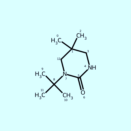 CC1(C)CNC(=O)N(C(C)(C)C)C1